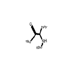 CCCC(NC(C)(C)C)C(=O)C(C)(C)C